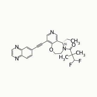 CC[C@H]1c2cncc(C#Cc3ccc4nccnc4c3)c2OCCN1C(=O)C(C)(C)C(F)F